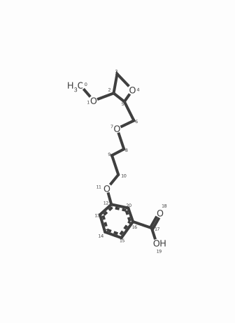 COC1COC1COCCCOc1cccc(C(=O)O)c1